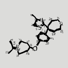 Cc1csc(C2(c3ccc(OC4CCN(C(C)C)CC4)cc3)CCOCC2)n1